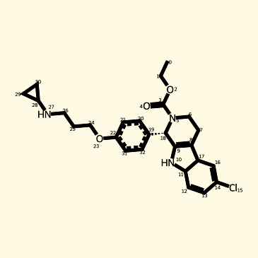 CCOC(=O)N1CCC2=C(NC3C=CC(Cl)=CC23)[C@@H]1c1ccc(OCCCNC2CC2)cc1